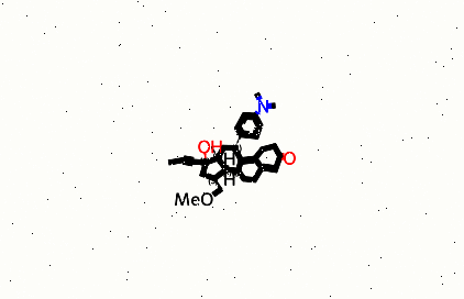 CC#C[C@]1(O)C[C@H](COC)[C@H]2[C@@H]3CCC4=CC(=O)CCC4=C3[C@@H](c3ccc(N(C)C)cc3)C[C@@]21C